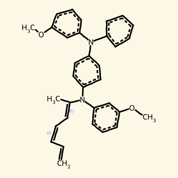 C=C/C=C\C=C(/C)N(c1ccc(N(c2ccccc2)c2cccc(OC)c2)cc1)c1cccc(OC)c1